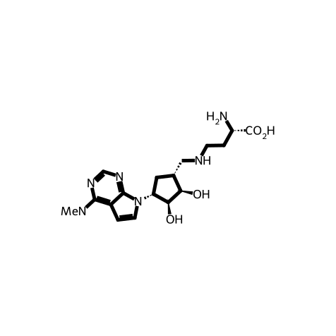 CNc1ncnc2c1ccn2[C@@H]1C[C@H](CNCC[C@H](N)C(=O)O)[C@@H](O)[C@H]1O